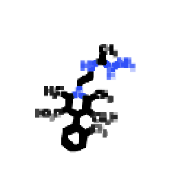 CC1=C(C(=O)O)C(c2ccccc2C(F)(F)F)C(C(=O)O)=C(C)N1CCNC(C)NN